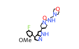 COc1ccc(F)cc1-c1ccnc2[nH]c(C3=CCN(C(=O)NCCN4CCOCC4)CC3)cc12